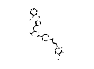 COc1ccccc1Cn1cnc(CC(NC(=O)C2CCN(C(=O)/C=C/c3ccc(SC)c(Cl)c3Cl)CC2)C(=O)O)c1